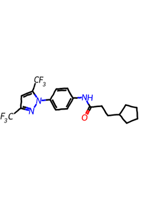 O=C(CCC1CCCC1)Nc1ccc(-n2nc(C(F)(F)F)cc2C(F)(F)F)cc1